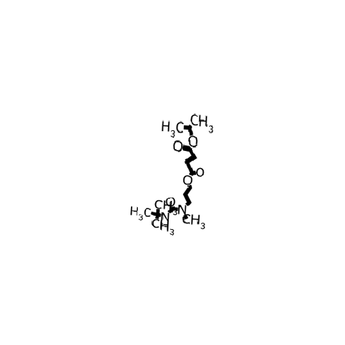 CC(C)OC(=O)/C=C/C(=O)OCCCN(C)C(=O)NC(C)(C)C